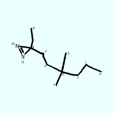 CCCC(C)(C)CCC1(C)N=N1